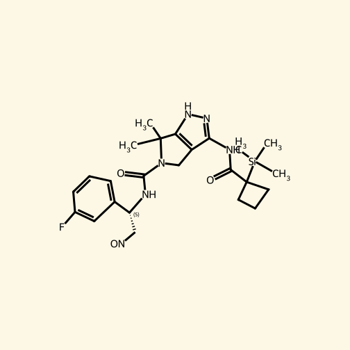 CC1(C)c2[nH]nc(NC(=O)C3([Si](C)(C)C)CCC3)c2CN1C(=O)N[C@H](CN=O)c1cccc(F)c1